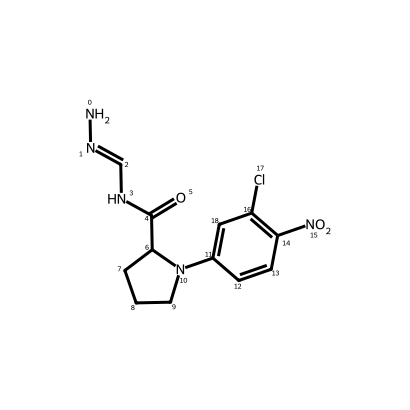 NN=CNC(=O)C1CCCN1c1ccc([N+](=O)[O-])c(Cl)c1